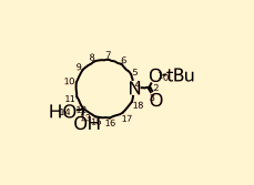 CC(C)(C)OC(=O)N1CCCCCCCC(O)(O)CCCC1